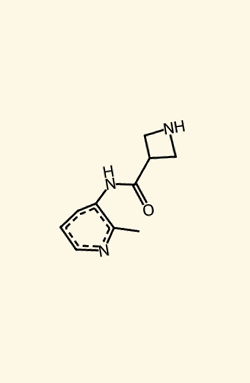 Cc1ncccc1NC(=O)C1CNC1